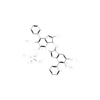 COc1c(C(C)(C)C)cc2c(c1-c1ccccc1)C=C(C)[CH]2[Zr][CH]1C(C)=Cc2c1cc(C(C)(C)C)c(OC)c2-c1ccccc1.C[Si](C)(Cl)Cl